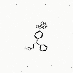 CS(=O)(=O)c1ccc([C@@H](CCO)c2ccccc2)cc1